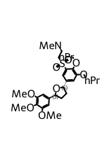 CCCOc1cc([C@@H]2CC[C@@H](c3cc(OC)c(OC)c(OC)c3)O2)cc(S(=O)(=O)CCNC)c1OCCC